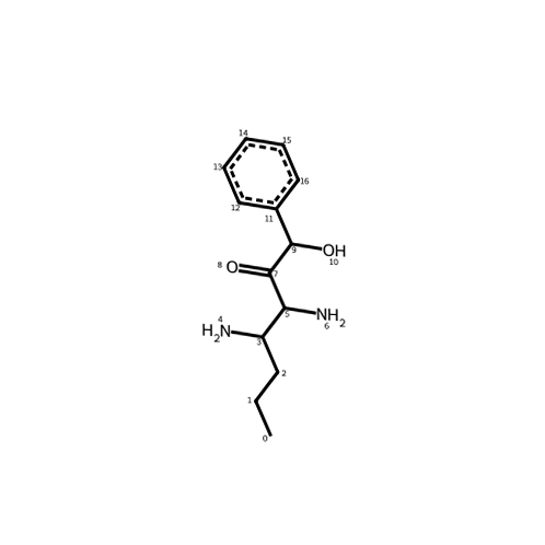 CCCC(N)C(N)C(=O)C(O)c1ccccc1